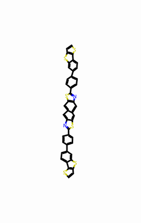 c1cc2sc3cc(-c4ccc(-c5nc6cc7cc8sc(-c9ccc(-c%10ccc%11c(c%10)sc%10ccsc%10%11)cc9)nc8cc7cc6s5)cc4)ccc3c2s1